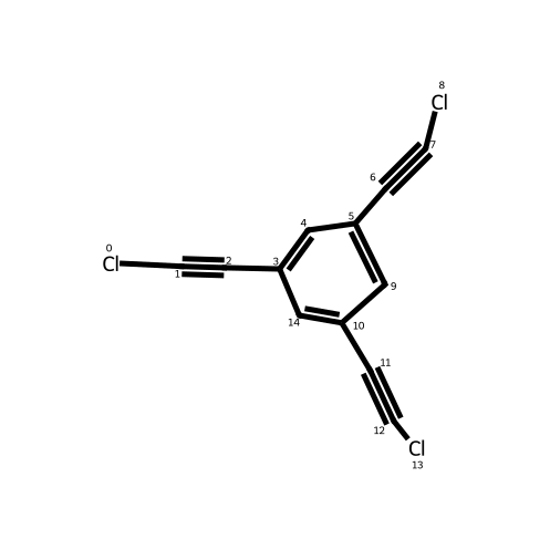 ClC#Cc1cc(C#CCl)cc(C#CCl)c1